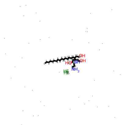 CCCCCCCCCCCCCCCCC(CCO)C(CCO)(CCO)NCCCN.F.F